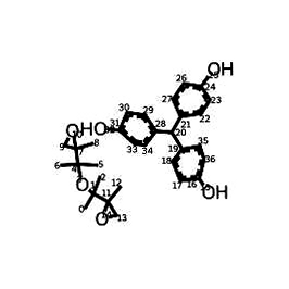 CC(C)(OC(C)(C)C1(C)CO1)C1(C)CO1.Oc1ccc(C(c2ccc(O)cc2)c2ccc(O)cc2)cc1